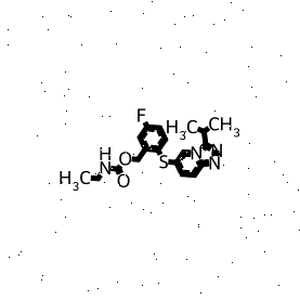 CCNC(=O)OCc1cc(F)ccc1Sc1ccc2nnc(C(C)C)n2c1